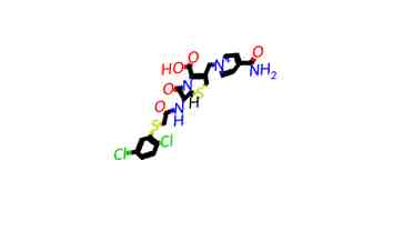 NC(=O)c1cc[n+](CC2=C(C(=O)O)N3C(=O)[C@H](NC(=O)CSc4cc(Cl)ccc4Cl)[C@H]3SC2)cc1